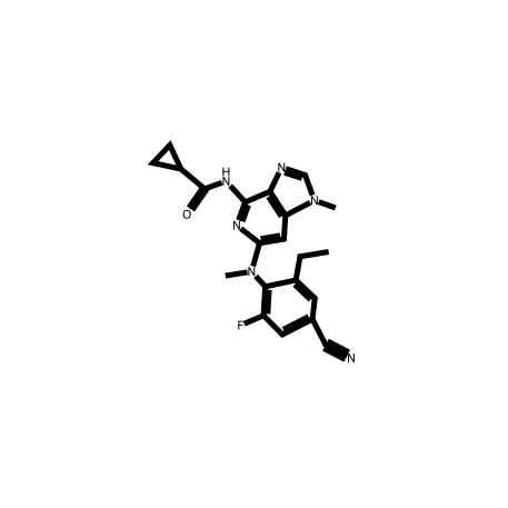 CCc1cc(C#N)cc(F)c1N(C)c1cc2c(ncn2C)c(NC(=O)C2CC2)n1